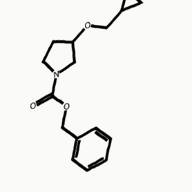 O=C(OCc1ccccc1)N1CCC(OCC2CC2)C1